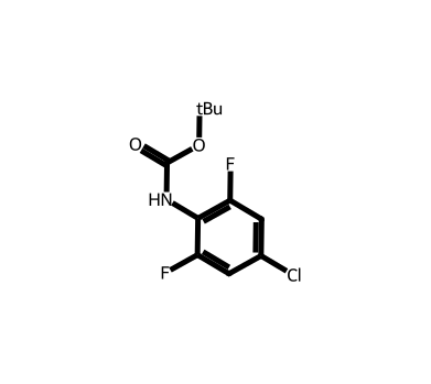 CC(C)(C)OC(=O)Nc1c(F)cc(Cl)cc1F